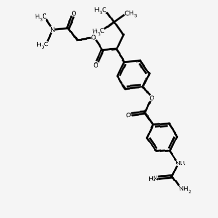 CN(C)C(=O)COC(=O)C(CC(C)(C)C)c1ccc(OC(=O)c2ccc(NC(=N)N)cc2)cc1